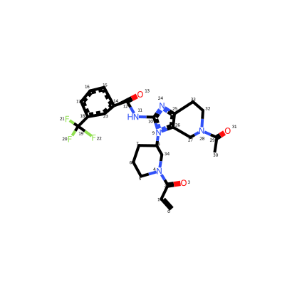 C=CC(=O)N1CCCC(n2c(NC(=O)c3cccc(C(F)(F)F)c3)nc3c2CN(C(C)=O)CC3)C1